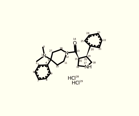 CN(C)C1(c2ccccc2)CCN(C(=O)[C@@H]2CNC[C@@H]2c2ccccc2)CC1.Cl.Cl